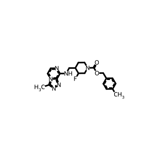 Cc1ccc(COC(=O)N2CCC(CNc3nccn4c(C)nnc34)C(F)C2)cc1